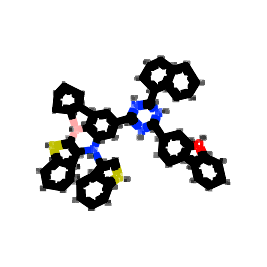 c1ccc2c(c1)B1c3sc4ccccc4c3N(c3csc4ccccc34)c3cc(-c4nc(-c5ccc6c(c5)oc5ccccc56)nc(-c5cccc6ccccc56)n4)cc-2c31